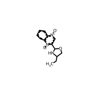 CCC1COC(c2c[n+]([O-])c3ccccc3[n+]2[O-])N1